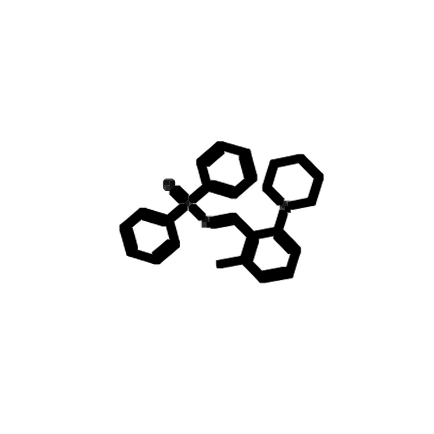 Cc1cccc(N2CCCCC2)c1/C=N/P(=O)(c1ccccc1)c1ccccc1